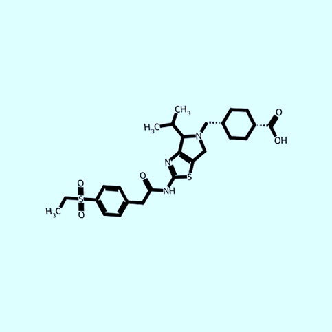 CCS(=O)(=O)c1ccc(CC(=O)Nc2nc3c(s2)CN(C[C@H]2CC[C@@H](C(=O)O)CC2)C3C(C)C)cc1